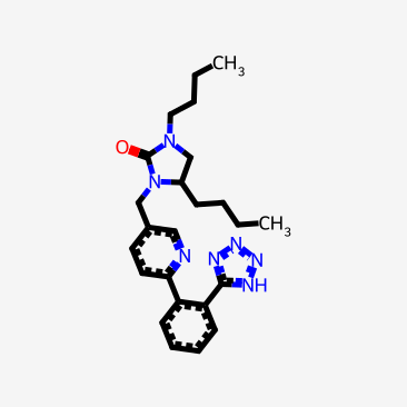 CCCCC1CN(CCCC)C(=O)N1Cc1ccc(-c2ccccc2-c2nnn[nH]2)nc1